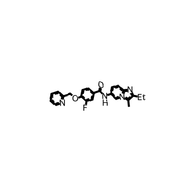 CCc1nc2ccc(NC(=O)c3ccc(OCc4ccccn4)c(F)c3)cn2c1C